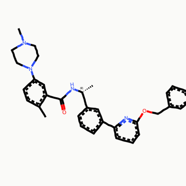 Cc1ccc(N2CCN(C)CC2)cc1C(=O)N[C@H](C)c1cccc(-c2cccc(OCc3ccccc3)n2)c1